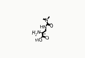 CN(C)C(=O)NC[C@H](N)C(=O)O